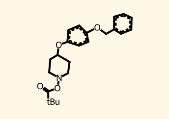 CC(C)(C)C(=O)ON1CCC(Oc2ccc(OCc3ccccc3)cc2)CC1